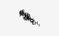 Cc1ccc(Cn2nc3n(c2=O)C(C(=O)N2CC(F)(F)C(F)(F)C2)CCC3)cc1